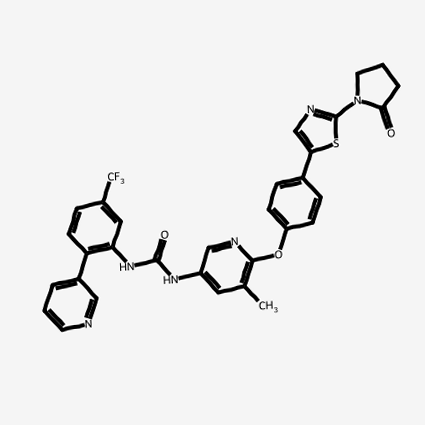 Cc1cc(NC(=O)Nc2cc(C(F)(F)F)ccc2-c2cccnc2)cnc1Oc1ccc(-c2cnc(N3CCCC3=O)s2)cc1